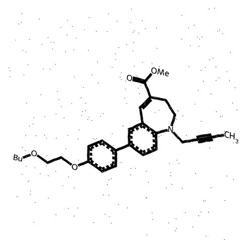 CC#CCN1CCC(C(=O)OC)=Cc2cc(-c3ccc(OCCOCCCC)cc3)ccc21